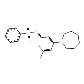 CC(C)=C/C(=C\C=N\S(=O)(=O)c1ccccc1)N1CCCCCC1